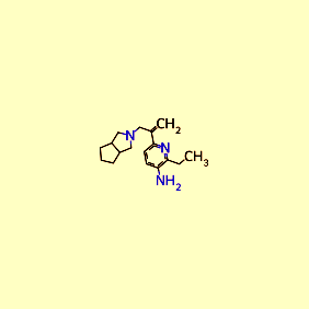 C=C(CN1CC2CCCC2C1)c1ccc(N)c(CC)n1